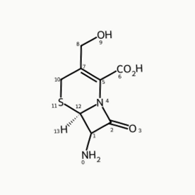 NC1C(=O)N2C(C(=O)O)=C(CO)CS[C@H]12